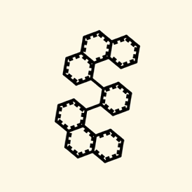 c1ccc(-c2cccc3ccc4ccccc4c23)c(-c2cccc3ccc4ccccc4c23)c1